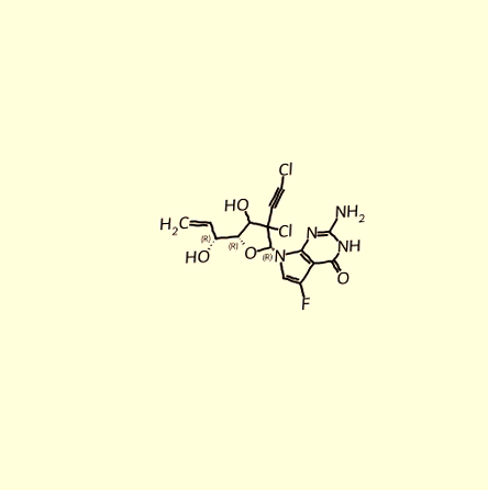 C=C[C@@H](O)[C@H]1O[C@@H](n2cc(F)c3c(=O)[nH]c(N)nc32)C(Cl)(C#CCl)C1O